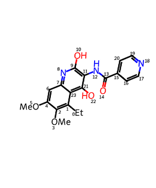 CCc1c(OC)c(OC)cc2nc(O)c(NC(=O)c3ccncc3)c(O)c12